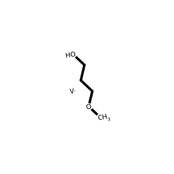 COCCCO.[V]